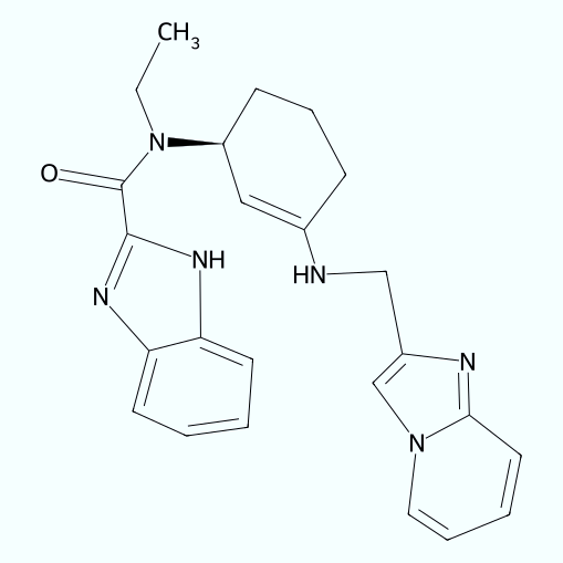 CCN(C(=O)c1nc2ccccc2[nH]1)[C@@H]1C=C(NCc2cn3ccccc3n2)CCC1